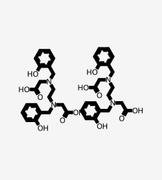 O=C(O)CN(CCN(CC(=O)O)Cc1ccccc1O)Cc1ccccc1O.O=C(O)CN(CCN(CC(=O)O)Cc1ccccc1O)Cc1ccccc1O